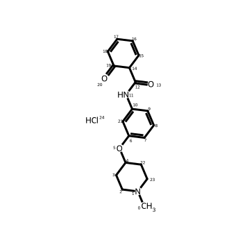 CN1CCC(Oc2cccc(NC(=O)C3C=CC=CC3=O)c2)CC1.Cl